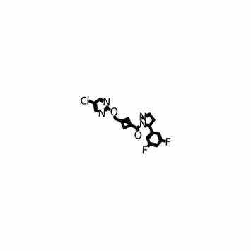 O=C(N1N=CCC1c1cc(F)cc(F)c1)C12CC(COc3ncc(Cl)cn3)(C1)C2